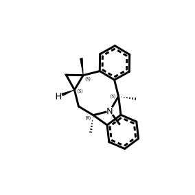 CN1[C@@]2(C)c3ccccc3[C@@]3(C)C[C@H]3C[C@]1(C)c1ccccc12